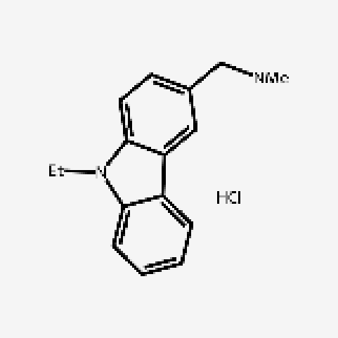 CCn1c2ccccc2c2cc(CNC)ccc21.Cl